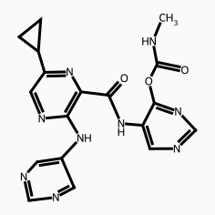 CNC(=O)Oc1ncncc1NC(=O)c1nc(C2CC2)cnc1Nc1cncnc1